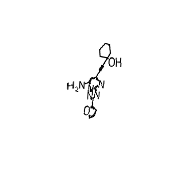 Nc1cc(C#CC2(O)CCCCC2)nc2nc(-c3ccco3)nn12